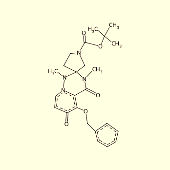 CN1C(=O)c2c(OCc3ccccc3)c(=O)ccn2N(C)C12CCN(C(=O)OC(C)(C)C)C2